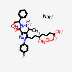 CC(C)c1c(C(=O)NC(CO)c2ccccc2)nn(-c2ccc(F)cc2)c1CC[C@@H](O)C[C@@H](O)CC(=O)O.[NaH]